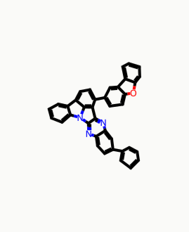 c1ccc(-c2ccc3nc4c(nc3c2)c2c(-c3ccc5oc6ccccc6c5c3)ccc3c5ccccc5n4c32)cc1